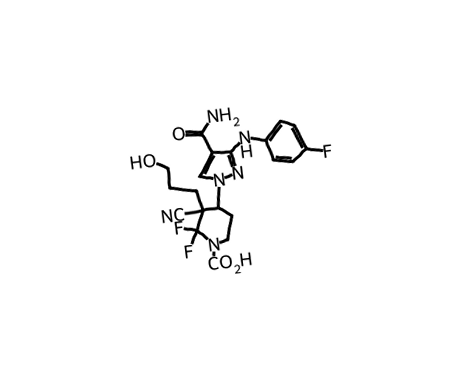 N#CC1(CCCO)C(n2cc(C(N)=O)c(Nc3ccc(F)cc3)n2)CCN(C(=O)O)C1(F)F